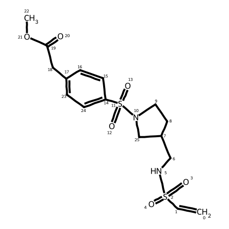 C=CS(=O)(=O)NCC1CCN(S(=O)(=O)c2ccc(CC(=O)OC)cc2)C1